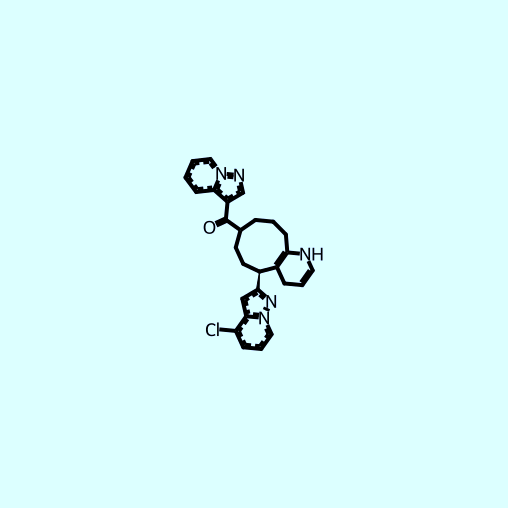 O=C(c1cnn2ccccc12)C1CCCC2=C(CC=CN2)[C@@H](c2cc3c(Cl)cccn3n2)CC1